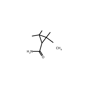 C.CC1(C)C(C(N)=O)C1(C)C